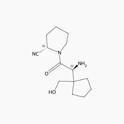 N#C[C@@H]1CCCCN1C(=O)[C@@H](N)C1(CO)CCCC1